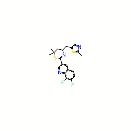 Cc1ncc(CC2CC(C)(C)SC(c3cnc4c(F)c(F)ccc4c3)=N2)s1